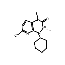 C[C@H]1C(=O)N(C)c2ccc(Cl)nc2N1C1CCCCC1